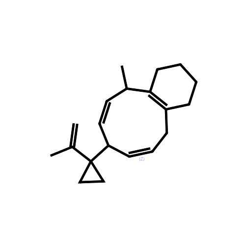 C=C(C)C1(C2C=CC(C)C3=C(C/C=C\2)CCCC3)CC1